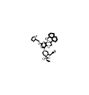 C=CS(=O)(=O)N1CCN(c2nc(OCC3CCCN3C)nc3c2OCC(c2cccc4cccc(Cl)c24)O3)CC1CC#N